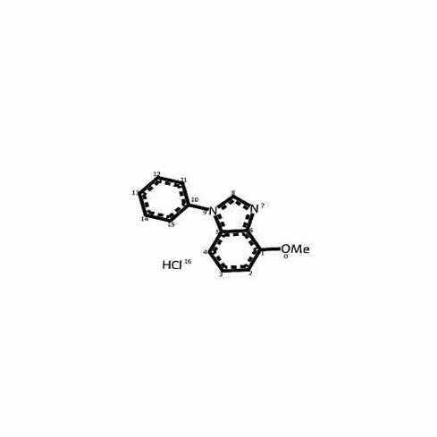 COc1cccc2c1ncn2-c1ccccc1.Cl